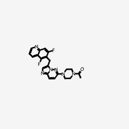 CC(=O)N1CCN(c2ccc3ncc(Cc4c(F)cc5ncccc5c4F)n3n2)CC1